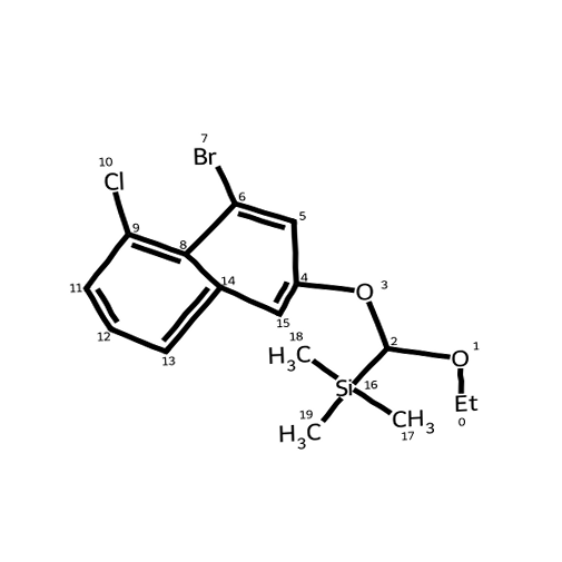 CCOC(Oc1cc(Br)c2c(Cl)cccc2c1)[Si](C)(C)C